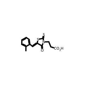 Cc1ccccc1C=C1SC(=S)N(CCC(=O)O)C1=O